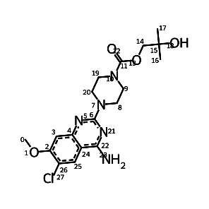 COc1cc2nc(N3CCN(C(=O)OCC(C)(C)O)CC3)nc(N)c2cc1Cl